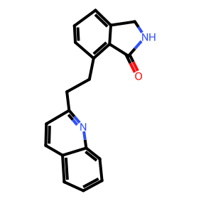 O=C1NCc2cccc(CCc3ccc4ccccc4n3)c21